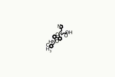 Cc1cccc(CNC(=O)c2ccccc2-c2ccccc2C(=O)N(CCC(=O)O)CCc2cccnc2)c1